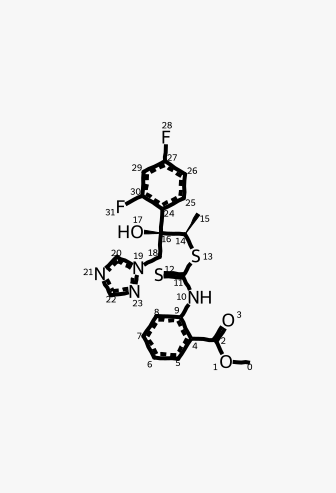 COC(=O)c1ccccc1NC(=S)S[C@H](C)[C@](O)(Cn1cncn1)c1ccc(F)cc1F